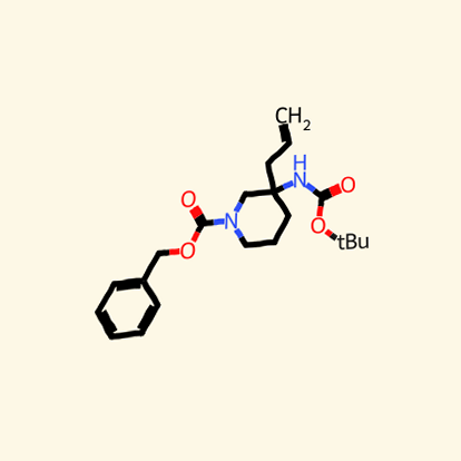 C=CCC1(NC(=O)OC(C)(C)C)CCCN(C(=O)OCc2ccccc2)C1